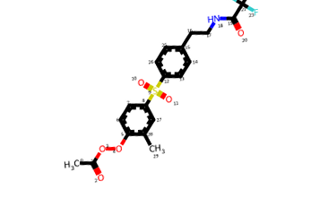 CC(=O)OOc1ccc(S(=O)(=O)c2ccc(CCNC(=O)C(F)(F)F)cc2)cc1C